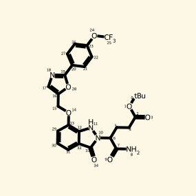 CC(C)(C)OC(=O)CCC(C(N)=O)n1[nH]c2c(OCc3cnc(-c4ccc(OC(F)(F)F)cc4)o3)cccc2c1=O